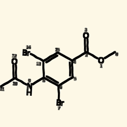 COC(=O)c1cc(Br)c(NC(C)=O)c(Br)c1